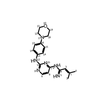 CC(C)=CC(=N)Nc1ccnc(Nc2ccc(N3CCOCC3)cc2)n1